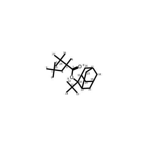 CC(C)(C)CC(C)(C(=O)OC1(C(C)(C)C)C2CC3CC(C2)CC1C3)C(C)(C)C